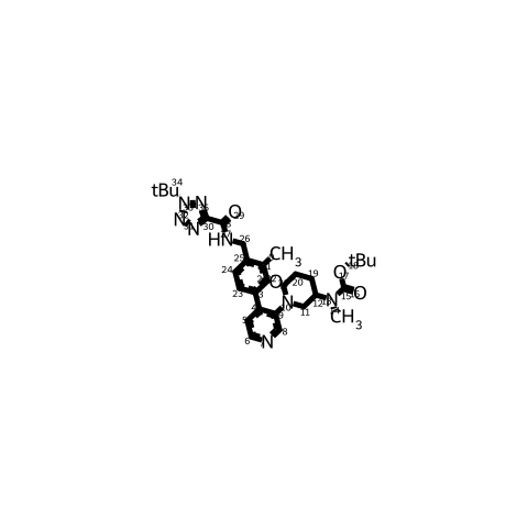 Cc1cc(-c2ccncc2N2CC(N(C)C(=O)OC(C)(C)C)CCC2=O)ccc1CNC(=O)c1nnn(C(C)(C)C)n1